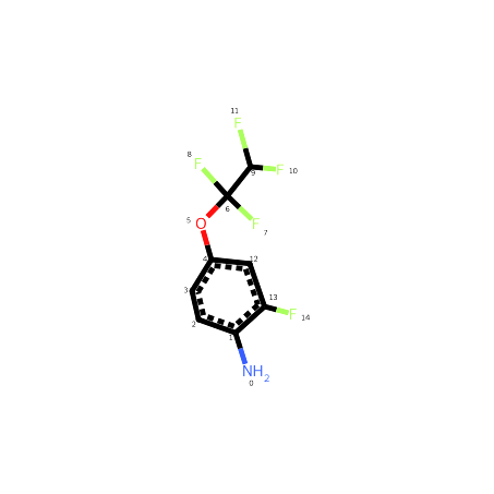 Nc1ccc(OC(F)(F)C(F)F)cc1F